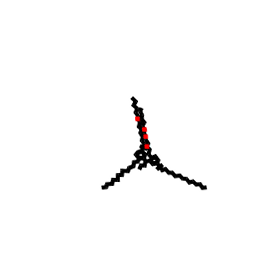 CCCCCCCCCCCCCCc1ccc(C(C)(C)CCCCCCCCCCCCCC)cc1C(CCC)c1cc(C(C)(C)CCCCCCCCCCCCCC)ccc1CCCCCCCCCCCCCC